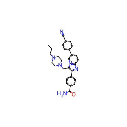 CCCN1CCN(Cc2c(-c3ccc(C(N)=O)cc3)nc3ccc(-c4ccc(C#N)cc4)cn23)CC1